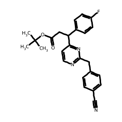 CC(C)(C)OC(=O)CC(c1ccc(F)cc1)c1ccnc(Cc2ccc(C#N)cc2)n1